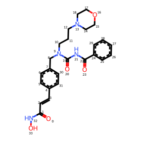 O=C(C=Cc1ccc(CN(CCCN2CCOCC2)C(=O)NC(=O)c2ccccc2)cc1)NO